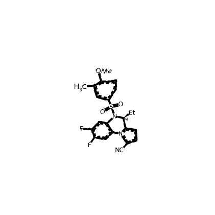 CC[C@H]1c2ccc(C#N)n2-c2cc(F)c(F)cc2N1S(=O)(=O)c1ccc(OC)c(C)c1